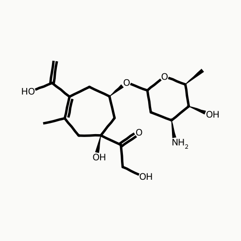 C=C(O)C1=C(C)C[C@@](O)(C(=O)CO)C[C@H](OC2C[C@H](N)[C@H](O)[C@H](C)O2)C1